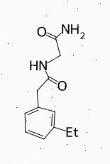 CCc1cccc(CC(=O)NCC(N)=O)c1